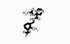 CC(=O)NC1(C(=O)NCc2cccc(C(F)(F)F)c2C)C=NC=CN1